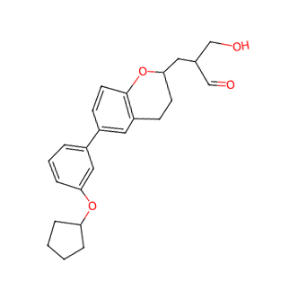 O=CC(CO)CC1CCc2cc(-c3cccc(OC4CCCC4)c3)ccc2O1